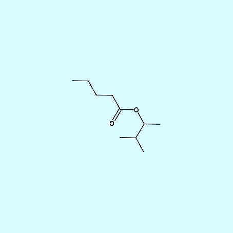 CCCCC(=O)OC(C)C(C)C